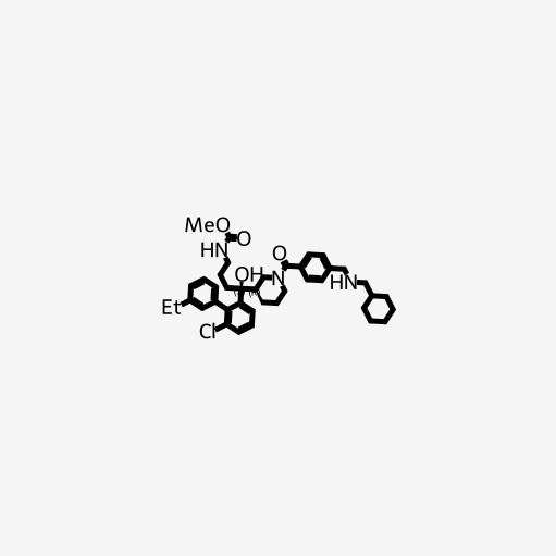 CCc1cccc(-c2c(Cl)cccc2[C@](O)(CCCNC(=O)OC)[C@@H]2CCCN(C(=O)c3ccc(CNCC4CCCCC4)cc3)C2)c1